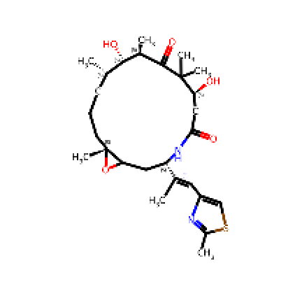 C/C(=C\c1csc(C)n1)[C@@H]1CC2O[C@]2(C)CCC[C@H](C)[C@H](O)[C@@H](C)C(=O)C(C)(C)[C@@H](O)CC(=O)N1